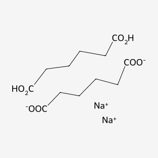 O=C(O)CCCCC(=O)O.O=C([O-])CCCCC(=O)[O-].[Na+].[Na+]